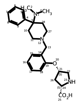 CN(C)C1(c2ccccc2)CCN(Cc2ccccc2O[C@@H]2CN[C@H](C(=O)O)C2)CC1